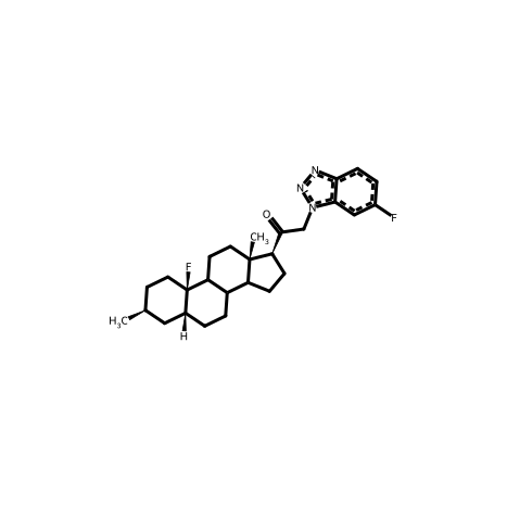 C[C@H]1CC[C@]2(F)C3CC[C@@]4(C)C(CC[C@@H]4C(=O)Cn4nnc5ccc(F)cc54)C3CC[C@@H]2C1